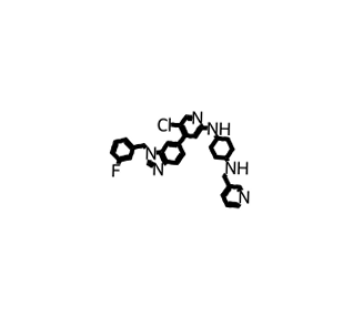 Fc1cccc(Cn2cnc3ccc(-c4cc(NC5CCC(NCc6cccnc6)CC5)ncc4Cl)cc32)c1